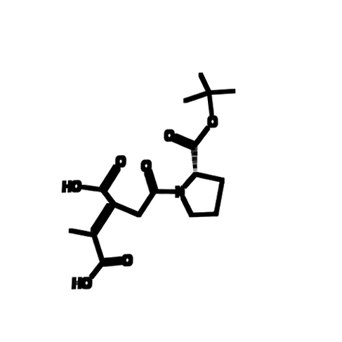 C/C(C(=O)O)=C(/CC(=O)N1CCC[C@H]1C(=O)OC(C)(C)C)C(=O)O